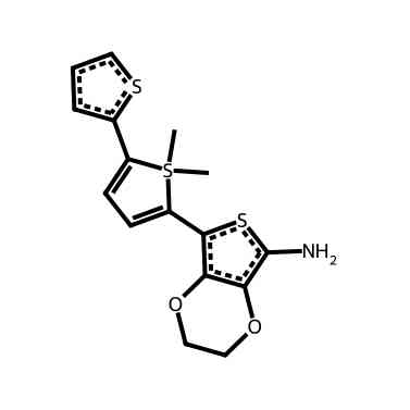 CS1(C)C(c2cccs2)=CC=C1c1sc(N)c2c1OCCO2